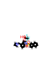 O=C(O)C(F)(F)F.O=S(=O)(c1ccc2ccccc2c1)n1ccc2c(CN3CCC3)cccc21